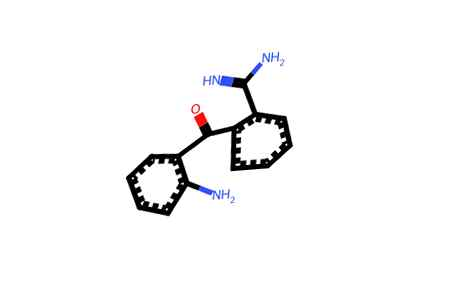 N=C(N)c1ccccc1C(=O)c1ccccc1N